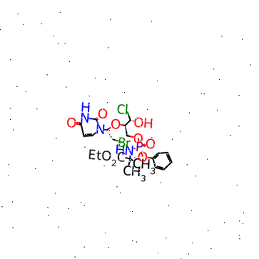 CCOC(=O)C(C)(C)N[P@@](=O)(OC[C@@H](O[C@H](CBr)n1ccc(=O)[nH]c1=O)[C@@H](O)Cl)Oc1ccccc1